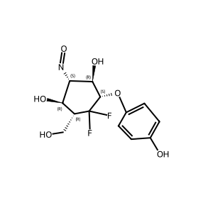 O=N[C@@H]1[C@@H](O)[C@H](Oc2ccc(O)cc2)C(F)(F)[C@H](CO)[C@H]1O